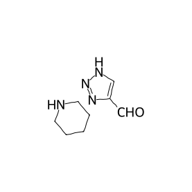 C1CCNCC1.O=Cc1c[nH]nn1